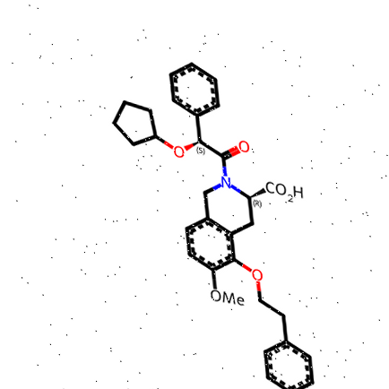 COc1ccc2c(c1OCCc1ccccc1)C[C@H](C(=O)O)N(C(=O)[C@@H](OC1CCCC1)c1ccccc1)C2